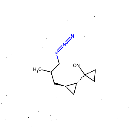 CC(CN=[N+]=[N-])C[C@@H]1C[C@H]1C1(N=O)CC1